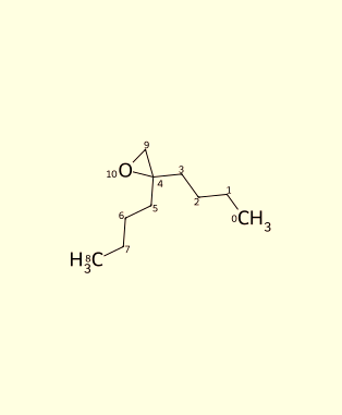 CCCCC1(CCCC)CO1